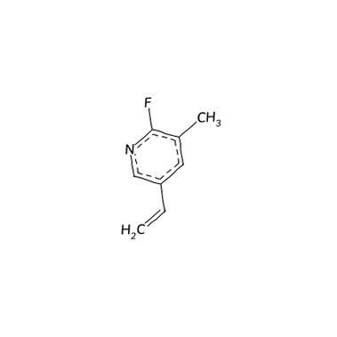 C=Cc1cnc(F)c(C)c1